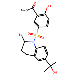 CCC1CCc2cc(C(C)(C)O)ccc2N1S(=O)(=O)c1ccc(O)c(C(=O)OC)c1